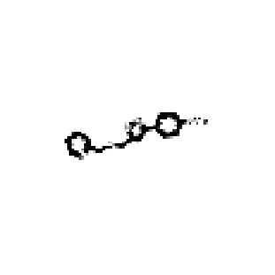 CSc1ccc(-c2cc(COCc3ccccn3)no2)cc1